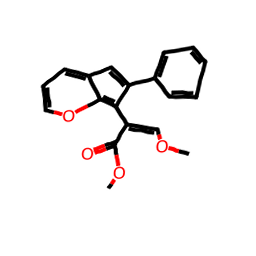 COC=C(C(=O)OC)c1c(-c2ccccc2)cc2cccoc1-2